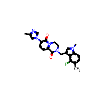 Cc1cn(-c2ccc3n(c2=O)CCN(Cc2cn(C)c4ccc(C(F)(F)F)c(F)c24)C3=O)cn1